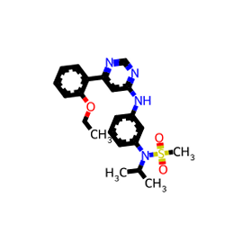 CCOc1ccccc1-c1cc(Nc2cccc(N(C(C)C)S(C)(=O)=O)c2)ncn1